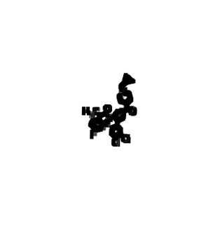 CC(C(=O)N(C)C1CN(C(=O)C2CCN(CC3CC3)CC2)CC1c1ccc(Cl)c(Cl)c1)c1ccc(F)cc1